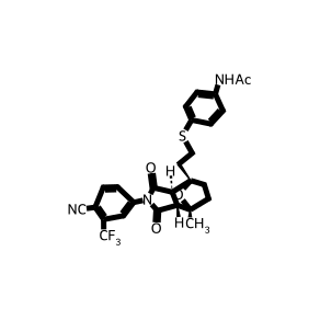 CC(=O)Nc1ccc(SCC[C@@]23CC[C@@](C)(O2)[C@@H]2C(=O)N(c4ccc(C#N)c(C(F)(F)F)c4)C(=O)[C@H]23)cc1